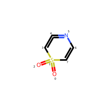 O=S1(=O)C=C=NC=C1